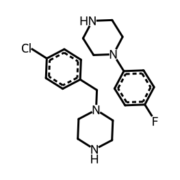 Clc1ccc(CN2CCNCC2)cc1.Fc1ccc(N2CCNCC2)cc1